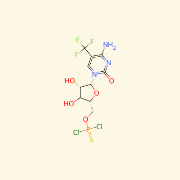 Nc1nc(=O)n([C@@H]2O[C@H](COP(=S)(Cl)Cl)C(O)[C@@H]2O)cc1C(F)(F)F